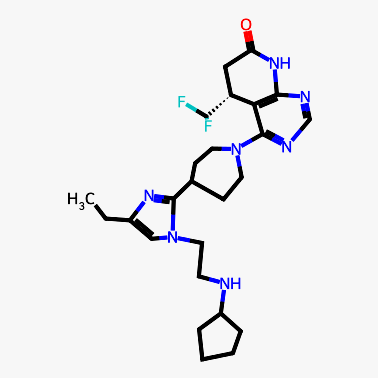 CCc1cn(CCNC2CCCC2)c(C2CCN(c3ncnc4c3[C@H](C(F)F)CC(=O)N4)CC2)n1